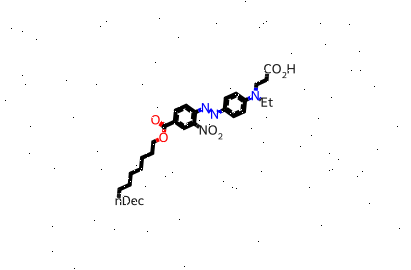 CCCCCCCCCCCCCCCCCOC(=O)c1ccc(N=Nc2ccc(N(CC)CCC(=O)O)cc2)c([N+](=O)[O-])c1